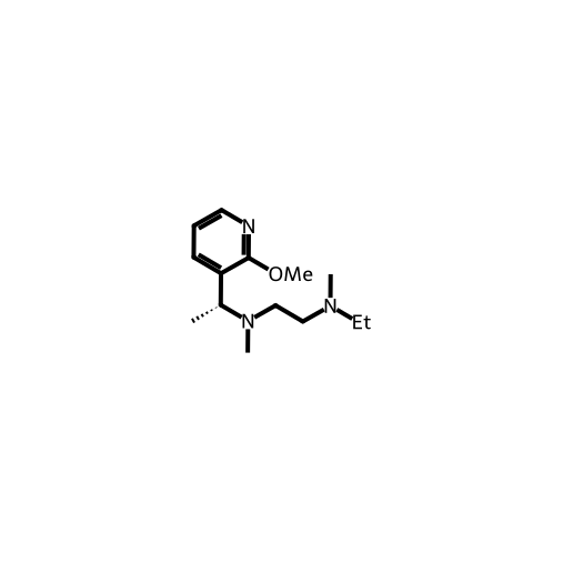 CCN(C)CCN(C)[C@H](C)c1cccnc1OC